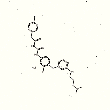 CN(C)CCCNc1cc(Cc2ccc(NC(=O)NC(=O)Cc3ccc(F)cc3)cc2F)ccn1.Cl